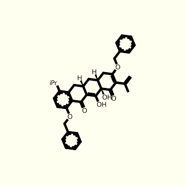 C=C(C)C1=C(OCc2ccccc2)C[C@H]2C[C@H]3Cc4c(C(C)C)ccc(OCc5ccccc5)c4C(=O)C3=C(O)[C@@]2(O)C1=O